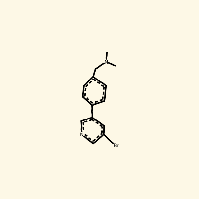 CN(C)Cc1ccc(-c2cncc(Br)c2)cc1